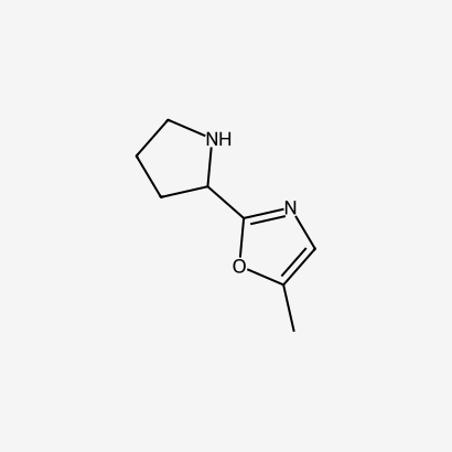 Cc1cnc(C2CCCN2)o1